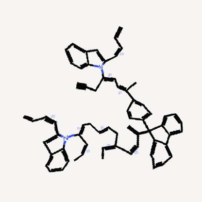 C#CC/C(=C\C=C(/C)c1ccc(C2(C(=C)/C=C\C(=C/C)C/C=C/C/C=C(\C=C/C)n3c(/C=C\C=C)cc4ccccc43)c3ccccc3-c3ccccc32)cc1)n1c(/C=C\C=C)cc2ccccc21